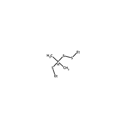 CCSS[PH](C)(C)SCC